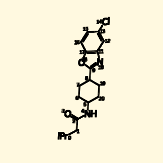 CC(C)CC(=O)NC1CCC(c2nc3cc(Cl)ccc3o2)CC1